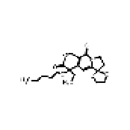 CCCCCOC1(CC)C(=O)OCc2c1cc1n(c2=O)CCC12OCCO2